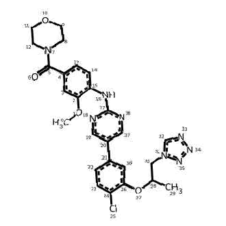 COc1cc(C(=O)N2CCOCC2)ccc1Nc1ncc(-c2ccc(Cl)c(OC(C)Cn3cnnn3)c2)cn1